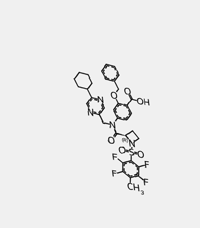 Cc1c(F)c(F)c(S(=O)(=O)N2CC[C@@H]2C(=O)N(Cc2cnc(C3CCCCC3)cn2)c2ccc(C(=O)O)c(OCc3ccccc3)c2)c(F)c1F